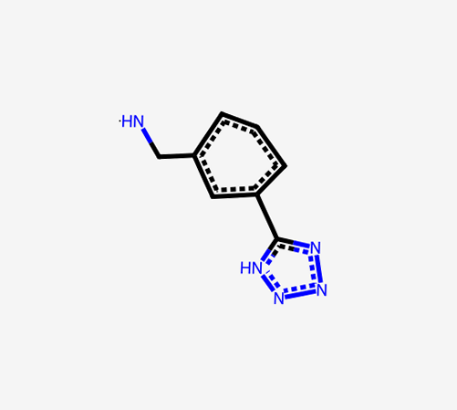 [NH]Cc1cccc(-c2nnn[nH]2)c1